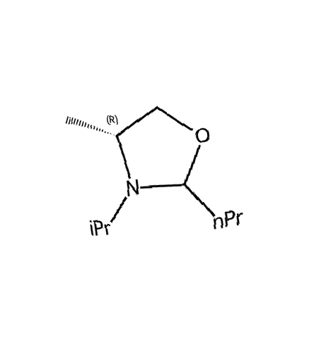 CCCC1OC[C@@H](C)N1C(C)C